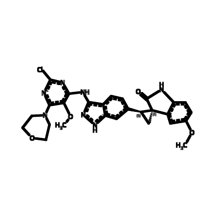 COc1ccc2c(c1)[C@]1(C[C@H]1c1ccc3c(Nc4nc(Cl)nc(N5CCOCC5)c4OC)n[nH]c3c1)C(=O)N2